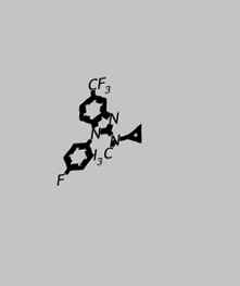 CN(c1nc2cc(C(F)(F)F)ccc2n1-c1ccc(F)cc1)C1CC1